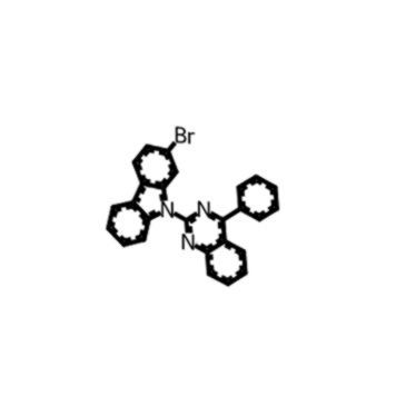 Brc1ccc2c3ccccc3n(-c3nc(-c4ccccc4)c4ccccc4n3)c2c1